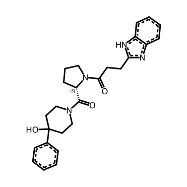 O=C([C@@H]1CCCN1C(=O)CCc1nc2ccccc2[nH]1)N1CCC(O)(c2ccccc2)CC1